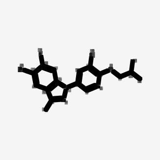 Cc1nn(-c2cnc(OCC(C)C)c(Cl)c2)c2cc(F)c(Br)cc12